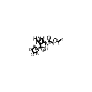 CCOCC(=O)Nc1c[nH]nc1C(=O)N1CCCC1